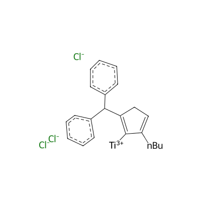 CCCCC1=CCC(C(c2ccccc2)c2ccccc2)=[C]1[Ti+3].[Cl-].[Cl-].[Cl-]